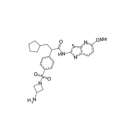 COc1ccc2nc(NC(=O)C(CC3CCCC3)c3ccc(S(=O)(=O)N4CC(N)C4)cc3)sc2n1